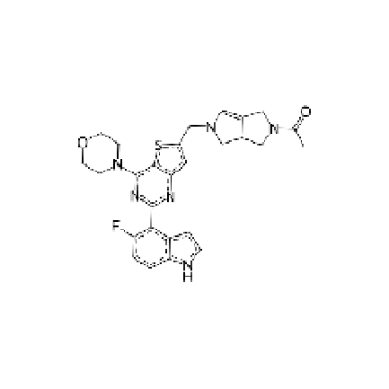 CC(=O)N1CC2=CN(Cc3cc4nc(-c5c(F)ccc6[nH]ccc56)nc(N5CCOCC5)c4s3)CC2C1